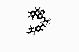 CCC(Nc1ccc(C(=O)NC(Cc2ccc(-c3c(C(F)(F)F)cc(C)n(C)c3=O)c3nccn23)C(=O)O)c(F)c1)C(F)(F)F